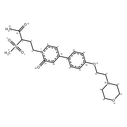 CS(=O)(=O)C(CCn1ccc(-c2ccc(OCCN3CCOCC3)cc2)cc1=O)C(N)=O